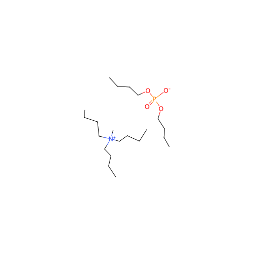 CCCCOP(=O)([O-])OCCCC.CCCC[N+](C)(CCCC)CCCC